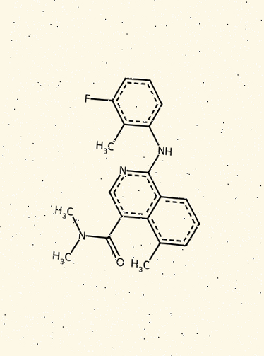 Cc1c(F)cccc1Nc1ncc(C(=O)N(C)C)c2c(C)cccc12